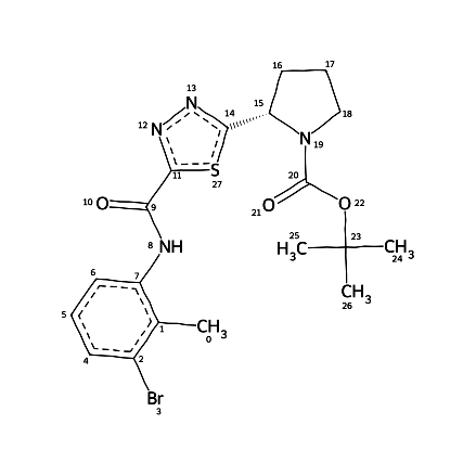 Cc1c(Br)cccc1NC(=O)c1nnc([C@@H]2CCCN2C(=O)OC(C)(C)C)s1